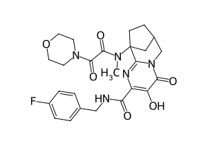 CN(C(=O)C(=O)N1CCOCC1)C12CCC(Cn3c1nc(C(=O)NCc1ccc(F)cc1)c(O)c3=O)C2